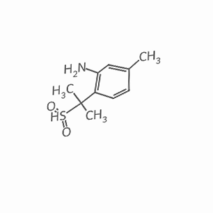 Cc1ccc(C(C)(C)[SH](=O)=O)c(N)c1